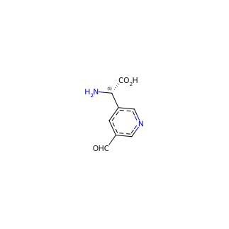 N[C@H](C(=O)O)c1cncc(C=O)c1